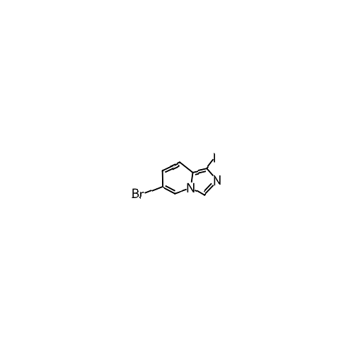 Brc1ccc2c(I)ncn2c1